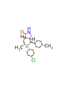 CC1=C[C@@H]2C(=O)NC[C@H]2[C@@H](c2ccc(C)cc2)[C@@H]1c1ccc(Cl)cc1